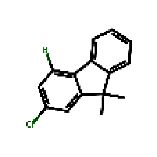 CC1(C)c2ccccc2-c2c(Br)cc(Cl)cc21